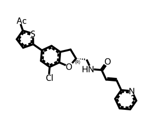 CC(=O)c1ccc(-c2cc(Cl)c3c(c2)C[C@H](CNC(=O)C=Cc2ccccn2)O3)s1